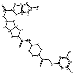 C=C(NC1CCN(C(=C)CCc2cc(C)cc(C)c2)CC1)C1CC2CN(CC(=C)N3Cc4cn(C(C)C)nc4C3)CC2C1